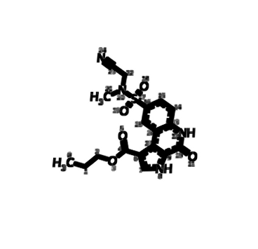 CCCOC(=O)c1c[nH]c2c(=O)[nH]c3ccc(S(=O)(=O)N(C)CC#N)cc3c12